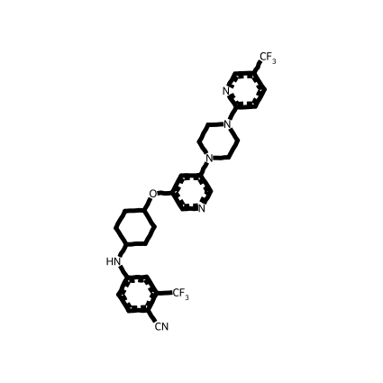 N#Cc1ccc(NC2CCC(Oc3cncc(N4CCN(c5ccc(C(F)(F)F)cn5)CC4)c3)CC2)cc1C(F)(F)F